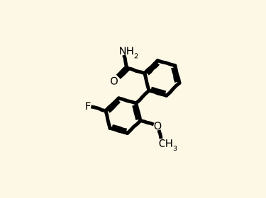 COc1ccc(F)cc1-c1ccccc1C(N)=O